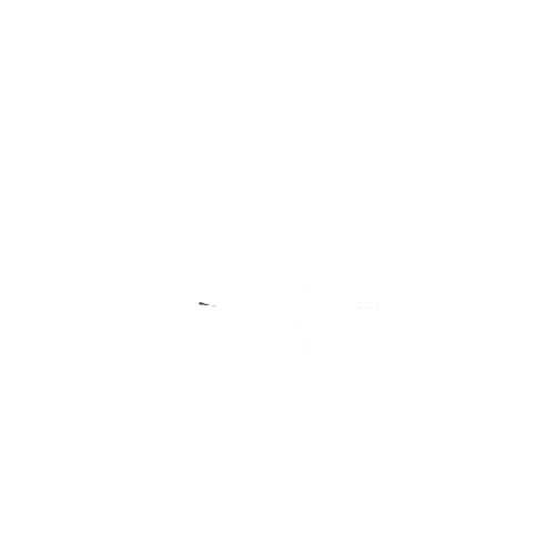 CCOC(=O)/C(=C\c1cccc(C(F)(F)F)c1)C(=O)[C@H]1CC[C@H](C2C=CC=CC2)CC1